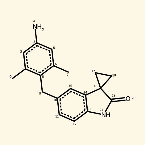 Cc1cc(N)cc(C)c1Cc1ccc2c(c1)C1(CC1)C(=O)N2